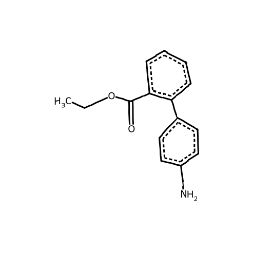 CCOC(=O)c1ccccc1-c1ccc(N)cc1